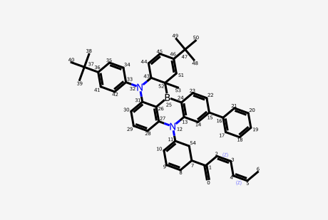 C=C(/C=C\C=C/C)C1C=CC=C(N2c3cc(-c4ccccc4)ccc3B3c4c2cccc4N(c2ccc(C(C)(C)C)cc2)C2C=CC(C(C)(C)C)=CC32C)C1